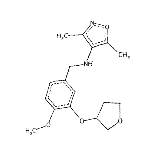 COc1ccc(CNc2c(C)noc2C)cc1OC1CCOC1